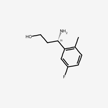 Cc1ccc(F)cc1[C@@H](N)CCO